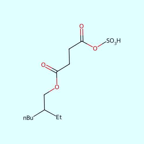 CCCCC(CC)COC(=O)CCC(=O)OS(=O)(=O)O